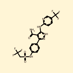 NC(=O)c1c(-c2ccc(NS(=O)(=O)CC(F)(F)F)cc2)n[nH]c1Nc1ccc(C(F)(F)F)cn1